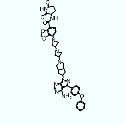 Nc1ncnc2c1c(-c1ccc(Oc3ccccc3)cc1)nn2C1CC2CN(C3CN(C4CN(c5ccc(C(=O)NC6CCC(=O)NC6=O)c6c5OCO6)C4)C3)CC2C1